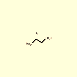 O=C(O)CCC(=O)O.[Ru]